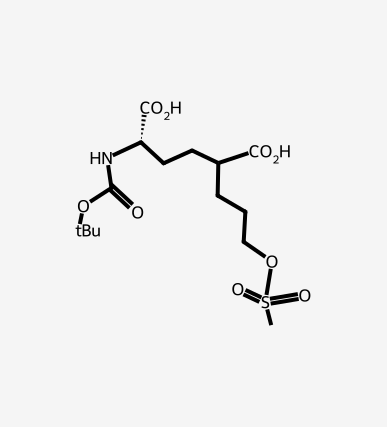 CC(C)(C)OC(=O)N[C@@H](CCC(CCCOS(C)(=O)=O)C(=O)O)C(=O)O